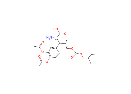 CCC(C)COC(=O)OCC(C)C(c1ccc(OC(C)=O)c(OC(C)=O)c1)[C@H](N)C(=O)O